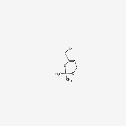 CC(=O)CC1=CCOC(C)(C)O1